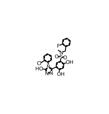 CN(Cc1ccccc1F)S(=O)(=O)c1cc(-c2nnc(O)n2-c2ccccc2Cl)c(O)cc1O